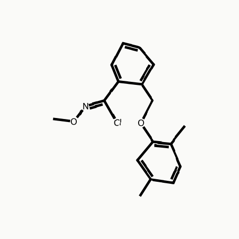 CON=C(Cl)c1ccccc1COc1cc(C)ccc1C